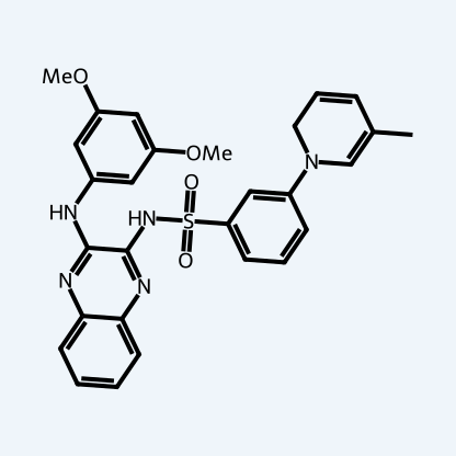 COc1cc(Nc2nc3ccccc3nc2NS(=O)(=O)c2cccc(N3C=C(C)C=CC3)c2)cc(OC)c1